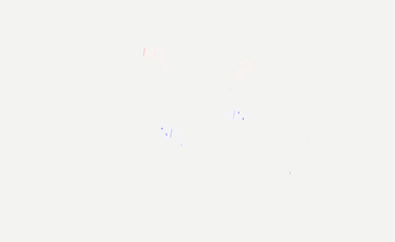 C[Si](C)(C)CNC(=O)C(F)(F)C(O)C(N)Cc1ccccc1